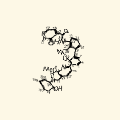 COc1nc(-c2cccc(-c3cccc(NC(=O)c4ccnn(C)c4=O)c3C#N)c2Cl)ccc1CN[C@@H]1CCCC[C@@H]1O